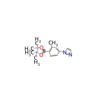 Cc1cc(-n2ccnc2)ccc1B1OC(C)(C)C(C)(C)O1